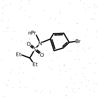 CCCN(c1ccc(Br)cc1)S(=O)(=O)C(CC)CC